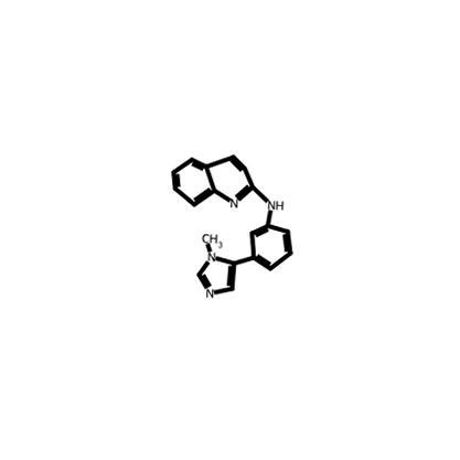 Cn1cncc1-c1cccc(Nc2ccc3ccccc3n2)c1